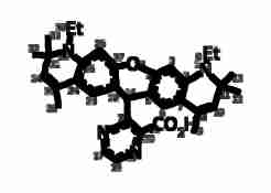 CCN1c2cc3c(cc2C(C)=CC1(C)C)C(c1nccnc1C(=O)O)c1cc2c(cc1O3)N(CC)C(C)(C)C=C2C